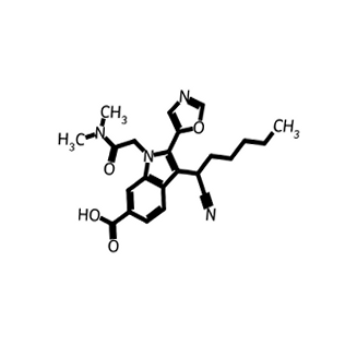 CCCCCC(C#N)c1c(-c2cnco2)n(CC(=O)N(C)C)c2cc(C(=O)O)ccc12